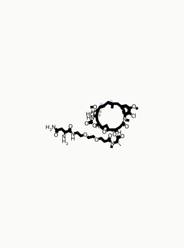 COc1cc2cc(c1Cl)N(C)C(=O)C[C@H](OC(=O)[C@H](C)N(C)C(=O)CCOCCOCCNC(=O)[C@@H](N)CC(N)=O)[C@@]1(C)CC(C)(O1)[C@@H]1C[C@@](O)(NC(=O)O1)[C@H](OC)/C=C/C=C(\C)C2